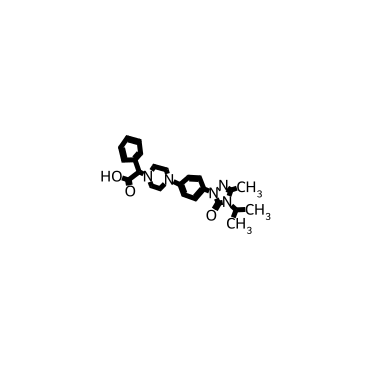 Cc1nn(-c2ccc(N3CCN(C(C(=O)O)c4ccccc4)CC3)cc2)c(=O)n1C(C)C